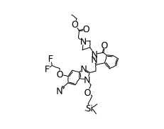 CCOC(=O)CN1CC(n2nc(Cc3nc4cc(OCC(F)F)c(C#N)cc4n3COCC[Si](C)(C)C)c3ccccc3c2=O)C1